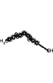 C#CC#CC#CC#Cc1ccc(C2CCC(C(=O)Oc3ccc(-c4cccc(-c5ccc(OC(=O)C6CCC(c7ccc(C)cc7)CC6)cc5)c4)cc3)CC2)cc1